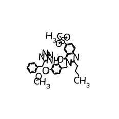 CCCCc1nc2ccc(S(C)(=O)=O)cc2c(=O)n1Cc1ccc(OC(c2nnn[nH]2)c2ccccc2OC)cc1